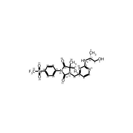 C[C@H](CO)Nc1nccc(CN2C(=O)N(c3ccc(S(=O)(=O)C(F)(F)F)cc3)C(=O)C2(C)C)n1